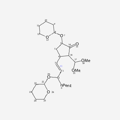 CCCCCC(/C=C/C1CC(OC2CCCCO2)C(=O)C1C(OC)OC)OC1CCCCO1